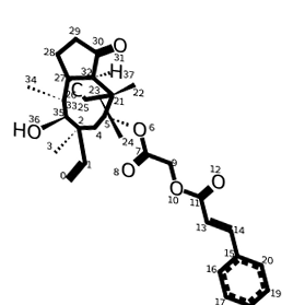 C=C[C@]1(C)C[C@@H](OC(=O)COC(=O)/C=C/c2ccccc2)[C@]2(C)[C@H](C)CC[C@]3(CCC(=O)[C@H]32)[C@@H](C)[C@@H]1O